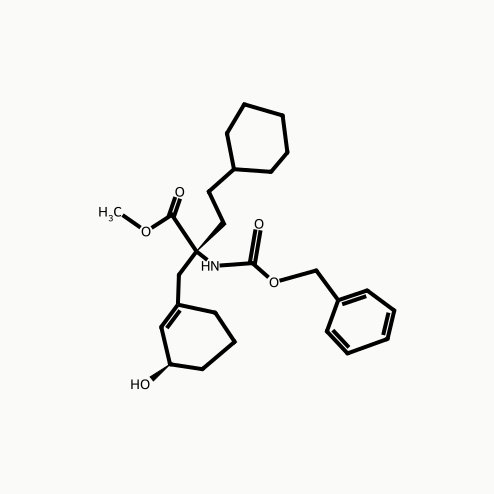 COC(=O)[C@@](CCC1CCCCC1)(CC1=C[C@H](O)CCC1)NC(=O)OCc1ccccc1